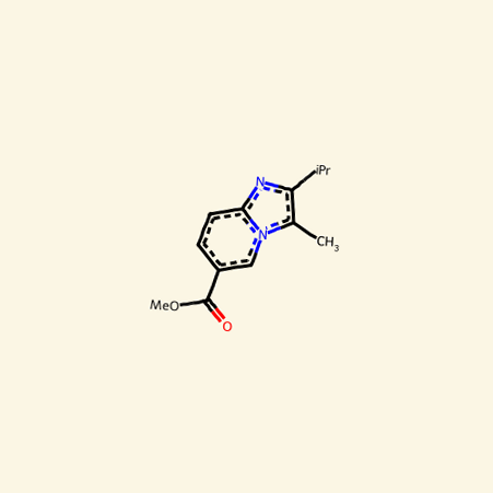 COC(=O)c1ccc2nc(C(C)C)c(C)n2c1